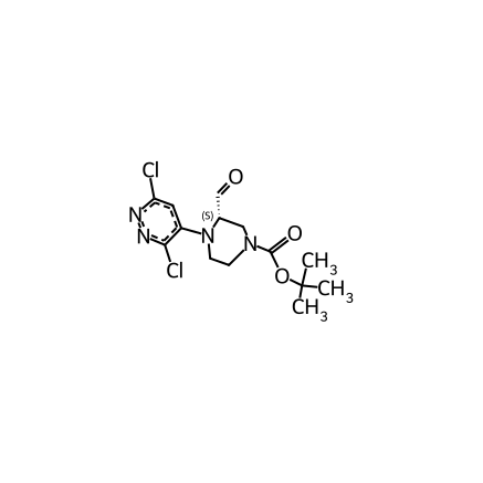 CC(C)(C)OC(=O)N1CCN(c2cc(Cl)nnc2Cl)[C@H](C=O)C1